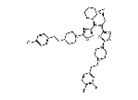 Fc1ccc(CCN2CCN(c3nc(N(CC4CC4)N(c4nsc(N5CCN(CCc6ccc(Cl)cc6)CC5)n4)C4CCCCC4)ns3)CC2)cc1F